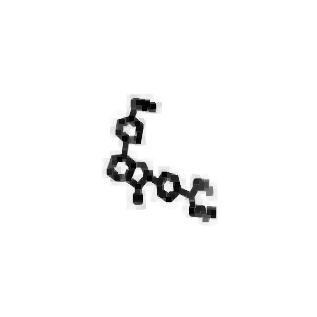 COc1ccc(-c2cccc3c2CN(c2ccc(C(C)C(=O)O)cc2)C3=O)cc1